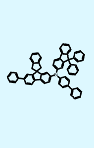 c1ccc(-c2ccc(N(c3ccc4c(c3)C3(Cc5ccccc5C3)c3cc(-c5ccccc5)ccc3-4)c3ccc4c(c3)C(c3ccccc3)(c3ccccc3)c3ccccc3-4)cc2)cc1